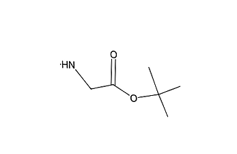 CC(C)(C)OC(=O)C[NH]